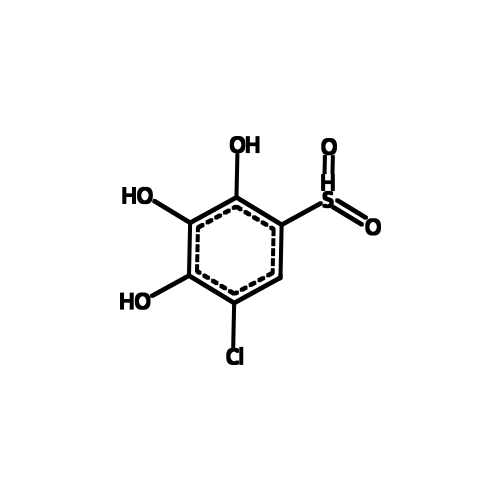 O=[SH](=O)c1cc(Cl)c(O)c(O)c1O